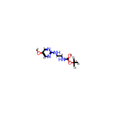 COc1cnc(NCCNC(=O)OC(C)(C)C)nc1